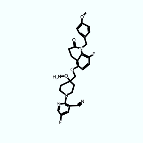 COc1ccc(CN2C(=O)CCc3c(OCC4(ON)CCN(c5ncc(F)cc5C#N)CC4)ccc(F)c32)cc1